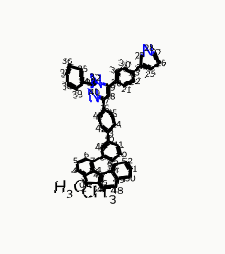 CC1(C)c2cccc(-c3cccc(-c4ccc(-c5cc(-c6ccc(-c7cccnc7)cc6)nc(-c6ccccc6)n5)cc4)c3)c2-c2c1ccc1ccccc21